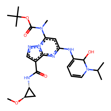 CO[C@@H]1C[C@H]1NC(=O)c1cnn2c(N(C)C(=O)OC(C)(C)C)cc(NC3=CC=CN(C(C)C)C3O)nc12